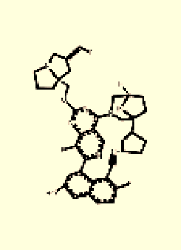 C#Cc1c(F)ccc2cc(O)cc(-c3ncc4c(N5C[C@@H]6CC[C@](C7CCCC7)(C5)N6)nc(OC[C@@]56CCCN5C/C(=C/F)C6)nc4c3F)c12